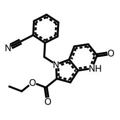 CCOC(=O)c1cc2[nH]c(=O)ccc2n1Cc1ccccc1C#N